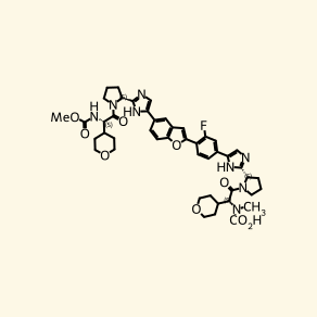 COC(=O)N[C@H](C(=O)N1CCC[C@H]1c1ncc(-c2ccc3oc(-c4ccc(-c5cnc([C@@H]6CCCN6C(=O)[C@H](C6CCOCC6)N(C)C(=O)O)[nH]5)cc4F)cc3c2)[nH]1)C1CCOCC1